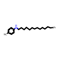 CC(C)CCCCCCCCCCCCCNc1ccc(C#N)cc1